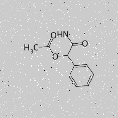 CC(=O)OC(C([NH])=O)c1ccccc1